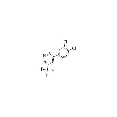 FC(F)(F)c1cn[c]c(-c2ccc(Cl)c(Cl)c2)c1